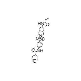 C=CC(=O)NC1CC2CN(S(=O)(=O)c3ccc(NC(=O)C4CCOCC4)cc3)CC2C1